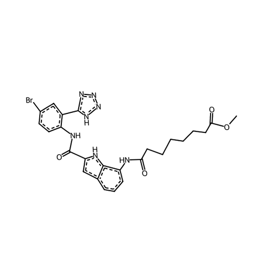 COC(=O)CCCCCCC(=O)Nc1cccc2cc(C(=O)Nc3ccc(Br)cc3-c3nnn[nH]3)[nH]c12